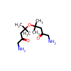 CC(C)(CC(=O)CN)OC(C)(C)CC(=O)CN